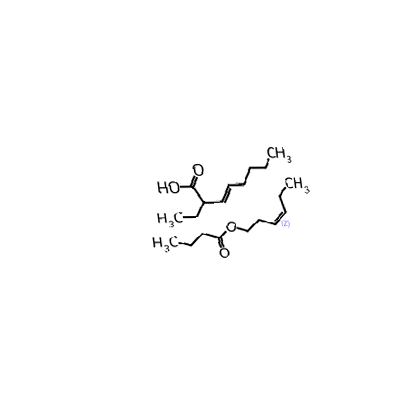 CC/C=C\CCOC(=O)CCC.CCCCC=CC(CC)C(=O)O